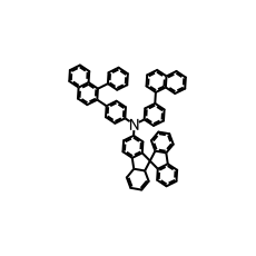 C1=CC2c3ccc(N(c4ccc(-c5ccc6ccccc6c5-c5ccccc5)cc4)c4cccc(-c5cccc6ccccc56)c4)cc3C3(c4ccccc4-c4ccccc43)C2C=C1